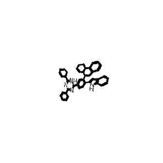 C1=CCC(C2=NC(c3ccccc3)=NC(c3ccc(-c4cc5c([nH]4)C=CCC5)c(C4=CC5C=CC=CC5C5CCC=CC45)c3)N2)C=C1